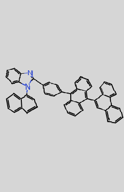 c1ccc2c(-n3c(-c4ccc(-c5c6ccccc6c(-c6cc7ccccc7c7ccccc67)c6ccccc56)cc4)nc4ccccc43)cccc2c1